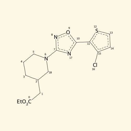 CCOC(=O)CC1CCCN(c2noc(-c3sccc3Cl)n2)C1